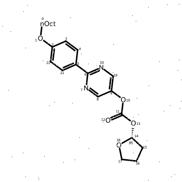 CCCCCCCCOc1ccc(-c2ncc(OC(=O)O[C@@H]3CCCO3)cn2)cc1